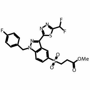 COC(=O)CCS(=O)(=O)c1ccc2c(c1)c(-c1nnc(C(F)F)s1)nn2Cc1ccc(F)cc1